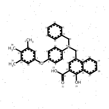 Cc1cc(Oc2ccc(N(Cc3ccccc3)Cc3cc(C(=O)O)c(O)c4ccccc34)cc2)cc(C)c1C